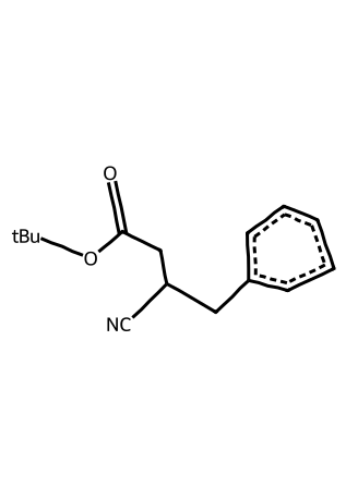 CC(C)(C)OC(=O)CC(C#N)Cc1ccccc1